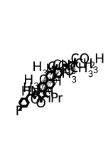 CC(C)C1=C2[C@H]3CC[C@@H]4[C@@]5(C)CC[C@H](OC(=O)CC(C)(C)C(=O)O)C(C)(C)[C@@H]5CC[C@@]4(C)[C@]3(C)CC[C@@]2(NC(=O)Cc2ccc(F)cc2)CC1=O